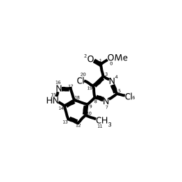 COC(=O)c1nc(Cl)nc(-c2c(C)ccc3[nH]ncc23)c1Cl